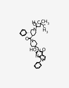 CC(C)(C)CC(=O)N1CC[C@@H](C(=O)N2CCC(O)(Cn3cnc4c(ccn4-c4ccccc4)c3=O)CC2)[C@H](c2ccccc2)C1